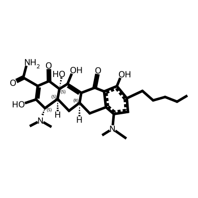 CCCCCc1cc(N(C)C)c2c(c1O)C(=O)C1=C(O)[C@]3(O)C(=O)C(C(N)=O)=C(O)[C@@H](N(C)C)[C@@H]3C[C@@H]1C2